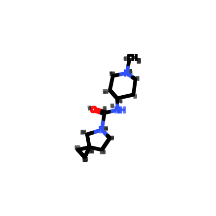 CN1CCC(NC(=O)N2CCC3(CC3)C2)CC1